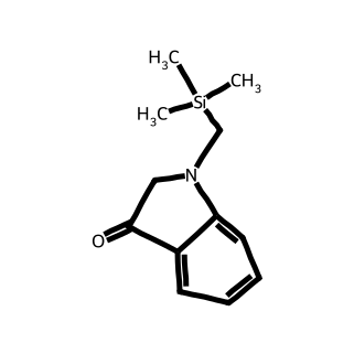 C[Si](C)(C)CN1CC(=O)c2ccccc21